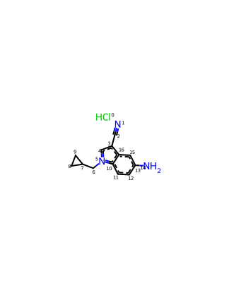 Cl.N#Cc1cn(CC2CC2)c2ccc(N)cc12